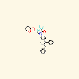 CCC(Cc1ccccc1)=C(c1ccccc1)c1ccc(N(CCCOC2CCCCO2)C(=O)C(F)(F)F)cc1